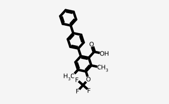 Cc1cc(-c2ccc(-c3ccccc3)cc2)c(C(=O)O)c(C)c1OC(F)(F)F